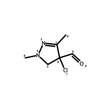 CC1=NN(C)CC1(Cl)C=O